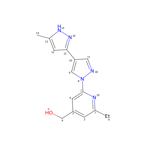 CCc1cc(CO)cc(-n2cc(-c3cc(C)[nH]n3)cn2)n1